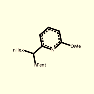 CCCCCCC(CCCCC)c1cccc(OC)n1